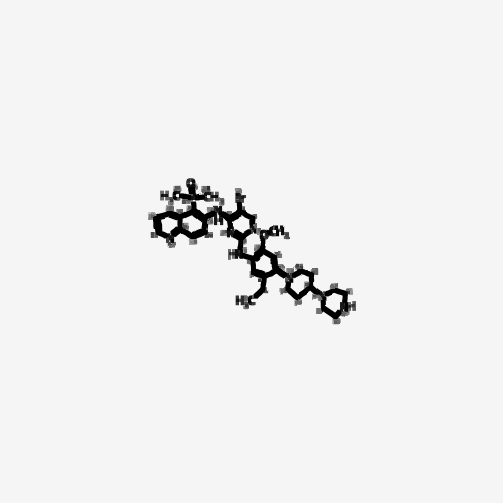 CCc1cc(Nc2ncc(Br)c(Nc3ccc4ncccc4c3P(C)(C)=O)n2)c(OC)cc1N1CCC(N2CCNCC2)CC1